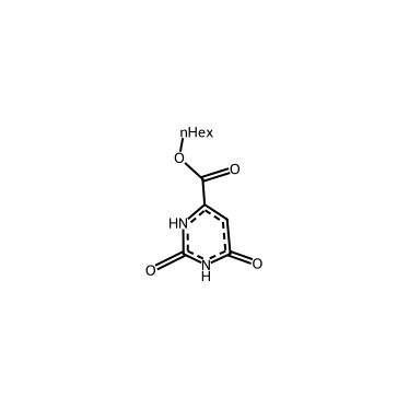 CCCCCCOC(=O)c1cc(=O)[nH]c(=O)[nH]1